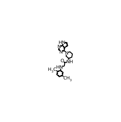 Cc1ccc(C)c(NCC(=O)N[C@@H]2CCCN(c3ncnc4[nH]ccc34)C2)c1